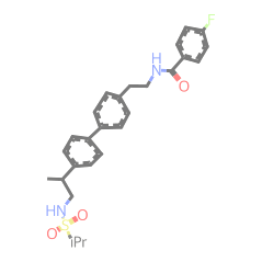 CC(CNS(=O)(=O)C(C)C)c1ccc(-c2ccc(CCNC(=O)c3ccc(F)cc3)cc2)cc1